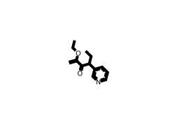 C=C(OCC)C(=O)C(CC)c1cccnc1